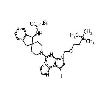 CC(C)(C)[S@@+]([O-])N[C@@H]1c2ccccc2CC12CCN(c1nc3c(c(I)cn3COCC[Si](C)(C)C)c3nccn13)CC2